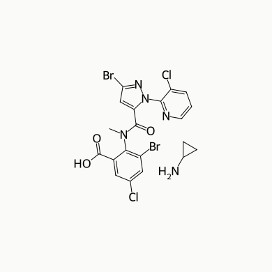 CN(C(=O)c1cc(Br)nn1-c1ncccc1Cl)c1c(Br)cc(Cl)cc1C(=O)O.NC1CC1